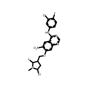 CCC1CC(COc2cc3ncnc(Nc4ccc(F)c(Cl)c4)c3cc2[N+](=O)[O-])C(F)N1C